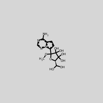 COC1(c2ccc3c(N)ncnn23)O[C@H](C(O)O)C(O)(O)C1(O)O